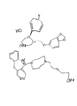 Cl.Fc1ccc([C@@H]2CCNC[C@H]2COc2ccc3c(c2)OCO3)cc1.OCCOCCN1CCN(C2=Nc3ccccc3Sc3ccccc32)CC1